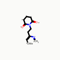 C=N/C(=C\OC)CCN1C(=O)CCCC1=O